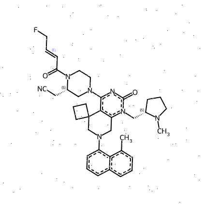 Cc1cccc2cccc(N3Cc4c(c(N5CCN(C(=O)/C=C/CF)[C@@H](CC#N)C5)nc(=O)n4C[C@@H]4CCCN4C)C4(CCC4)C3)c12